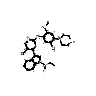 CC[S+]([O-])n1cc(-c2nc(Nc3cc(Cl)c(N4CCOCC4)cc3OC)ncc2Cl)c2ccccc21